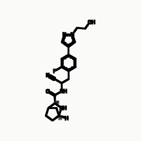 N#CC(Cc1ccc(-c2cnn(CCO)c2)cc1F)NC(=O)[C@H]1N[C@@H]2CCC1C2